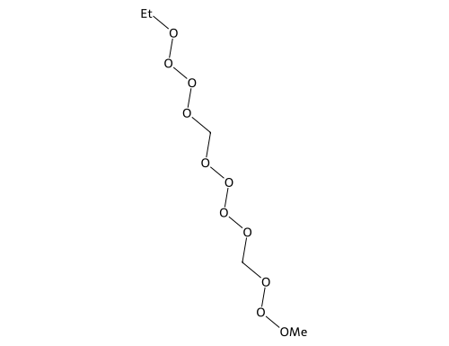 CCOOOOCOOOOCOOOC